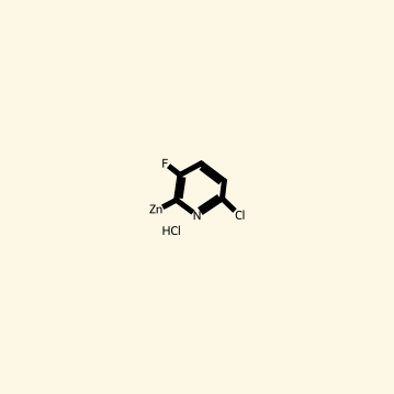 Cl.Fc1ccc(Cl)n[c]1[Zn]